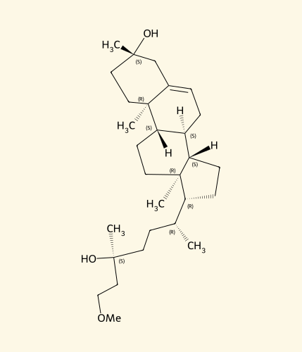 COCC[C@@](C)(O)CC[C@@H](C)[C@H]1CC[C@H]2[C@@H]3CC=C4C[C@@](C)(O)CC[C@]4(C)[C@H]3CC[C@]12C